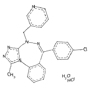 Cc1nnc2n1-c1ccccc1C(c1ccc(Cl)cc1)=NN2Cc1cccnc1.Cl.O